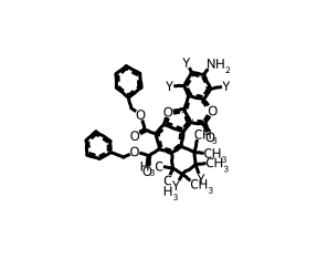 CC1(C)c2c(C(=O)OCc3ccccc3)c(C(=O)OCc3ccccc3)c3oc4c5[c]([Y])[c]([Y])c(N)[c]([Y])c5oc(=O)c4c3c2C(C)(C)[C](C)([Y])[C]1(C)[Y]